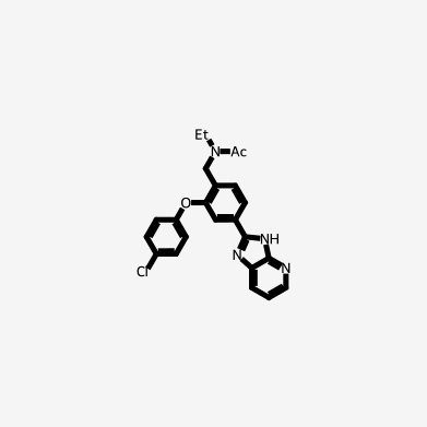 CCN(Cc1ccc(-c2nc3cccnc3[nH]2)cc1Oc1ccc(Cl)cc1)C(C)=O